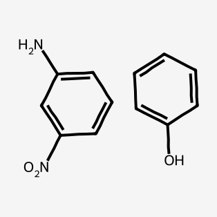 Nc1cccc([N+](=O)[O-])c1.Oc1ccccc1